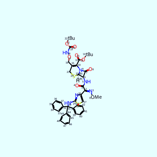 CON=C(C(=O)N[C@@H]1C(=O)N2C(C(=O)OC(C)(C)C)=C(CONC(=O)OC(C)(C)C)CS[C@H]12)c1csc(NC(c2ccccc2)(c2ccccc2)c2ccccc2)n1